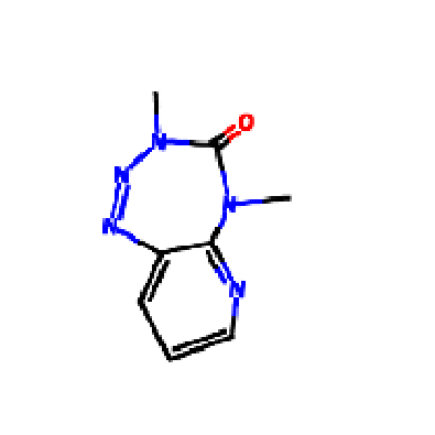 CN1N=Nc2cccnc2N(C)C1=O